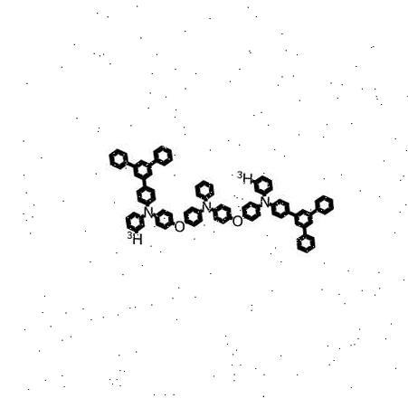 [3H]c1cccc(N(c2ccc(Oc3ccc(N(c4ccccc4)c4ccc(Oc5ccc(N(c6ccc(-c7cc(-c8ccccc8)cc(-c8ccccc8)c7)cc6)c6cccc([3H])c6)cc5)cc4)cc3)cc2)c2ccc(-c3cc(-c4ccccc4)cc(-c4ccccc4)c3)cc2)c1